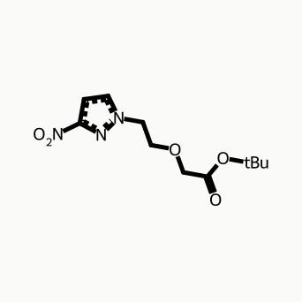 CC(C)(C)OC(=O)COCCn1ccc([N+](=O)[O-])n1